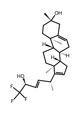 C[C@H](/C=C/[C@H](O)C(F)(F)F)C1=CC[C@H]2[C@@H]3CC=C4C[C@@](C)(O)CC[C@]4(C)[C@H]3CC[C@]12C